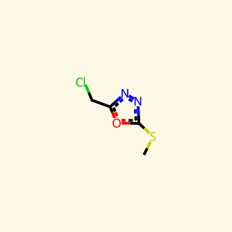 CSc1nnc(CCl)o1